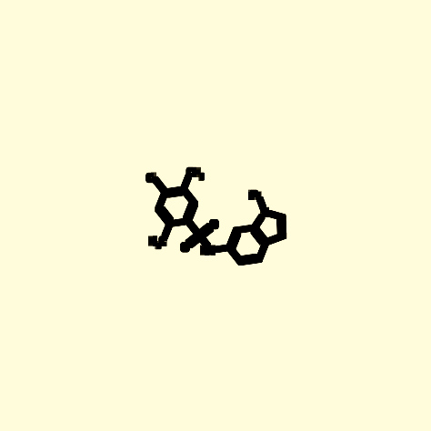 Cc1cc(S(=O)(=O)Nc2ccc3ccn(C(C)C)c3c2)c(C)cc1Cl